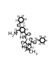 C[C@@]12C[C@@H]1N(C(=O)CNC(=O)c1ccc(Oc3ccccc3)c(CN)c1)[C@H](C(=O)OCc1ccccc1)C2